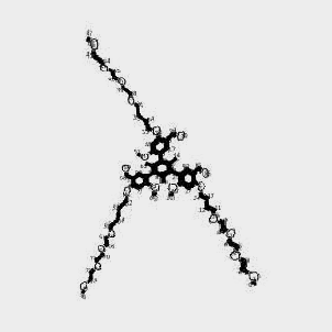 COCCOCCOCCOCCCCOc1cc(OC)c(-c2c(C)c(-c3cc(C=O)c(OCCCCOCCOCCOCCOC)cc3OC)c(C)c(-c3cc(C=O)c(OCCCCOCCOCCOCCOC)cc3OC)c2C)cc1C=O